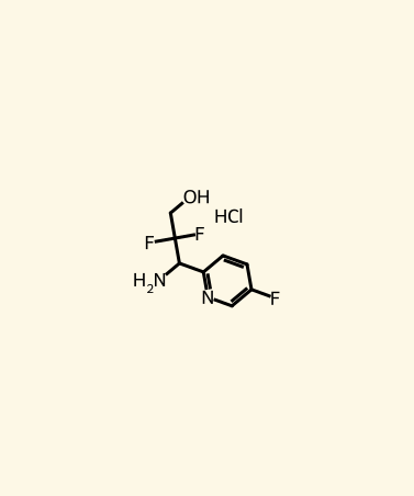 Cl.NC(c1ccc(F)cn1)C(F)(F)CO